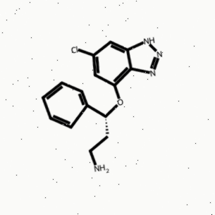 NCC[C@@H](Oc1cc(Cl)cc2[nH]nnc12)c1ccccc1